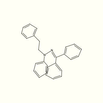 c1ccc(CCN(N=C(c2ccccc2)c2ccccc2)c2ccccc2)cc1